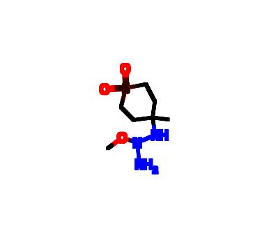 CON(N)NC1(C)CCS(=O)(=O)CC1